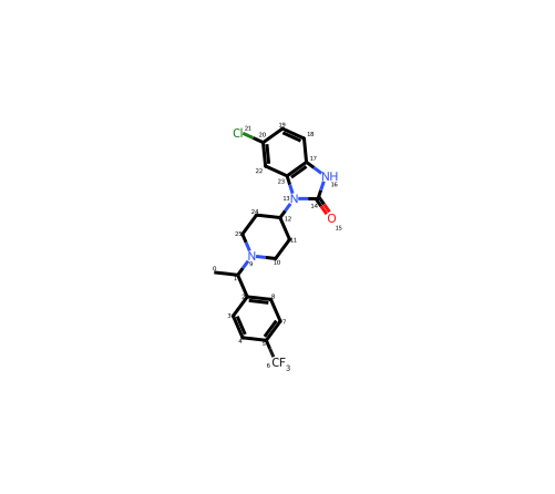 CC(c1ccc(C(F)(F)F)cc1)N1CCC(n2c(=O)[nH]c3ccc(Cl)cc32)CC1